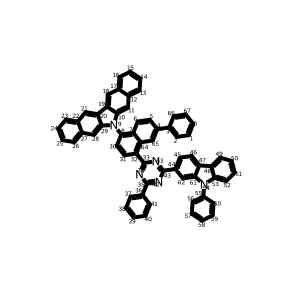 c1ccc(-c2ccc3c(-n4c5cc6ccccc6cc5c5cc6ccccc6cc54)ccc(-c4nc(-c5ccccc5)nc(-c5ccc6c7ccccc7n(-c7ccccc7)c6c5)n4)c3c2)cc1